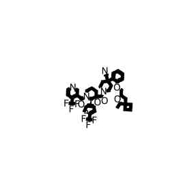 CCC[C@H]1N(C(=O)c2cnccc2C(F)(F)F)CCC[C@@]1(Oc1csc(C(F)(F)F)c1)C(=O)N1CCC(C#N)(c2ccccc2OCCCC2(C(C)=O)CCC2)CC1